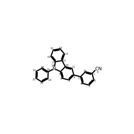 N#Cc1cccc(-c2ccc3c(c2)c2ccccc2n3-c2ccccc2)c1